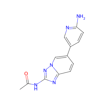 CC(=O)Nc1nc2ccc(-c3ccc(N)nc3)cn2n1